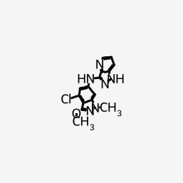 COc1nn(C)c2cc(Nc3n[nH]c4cccnc34)cc(Cl)c12